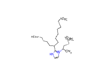 CCCCCCCCCCCCCCCCC(CCCCCCCCCCCCCC)c1[nH]cc[n+]1C(C)CCCCCCCCCCCC